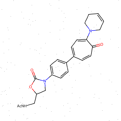 CC(=O)NCC1CN(c2ccc(-c3ccc(N4CC=CCC4)c(=O)cc3)cc2)C(=O)O1